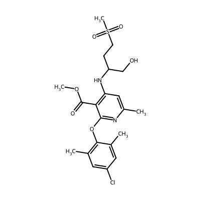 COC(=O)c1c(NC(CO)CCS(C)(=O)=O)cc(C)nc1Oc1c(C)cc(Cl)cc1C